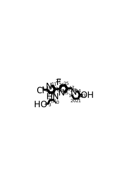 C[C@@H](CCO)Nc1cc(Cl)ncc1-c1ncc(CN2CCC[C@H](O)C2)cc1F